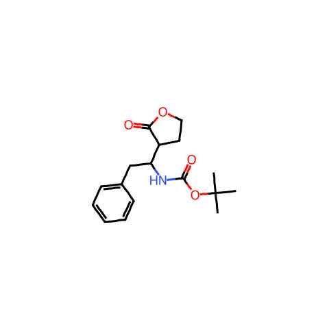 CC(C)(C)OC(=O)NC(Cc1ccccc1)C1CCOC1=O